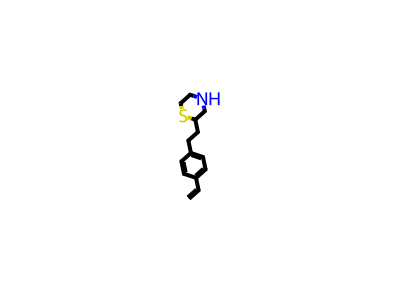 C=Cc1ccc(CCC2CNCCS2)cc1